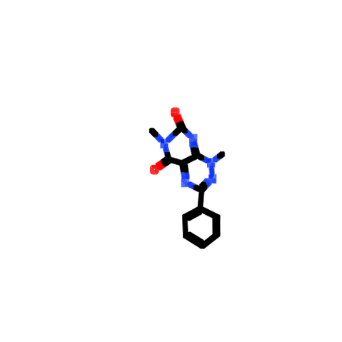 Cn1nc(-c2ccccc2)nc2c(=O)n(C)c(=O)nc1-2